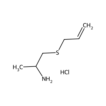 C=CCSCC(C)N.Cl